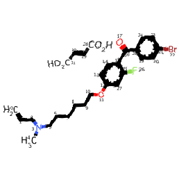 C=CCN(C)CCCCCCOc1ccc(C(=O)c2ccc(Br)cc2)c(F)c1.O=C(O)C=CC(=O)O